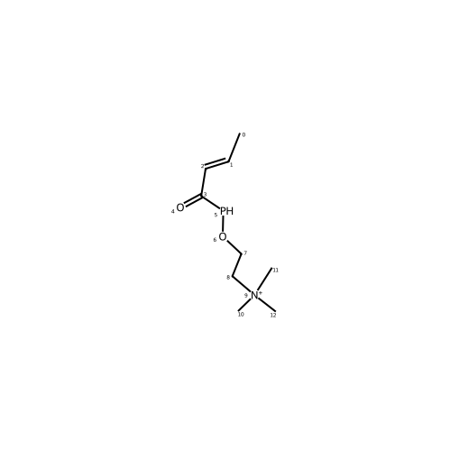 CC=CC(=O)POCC[N+](C)(C)C